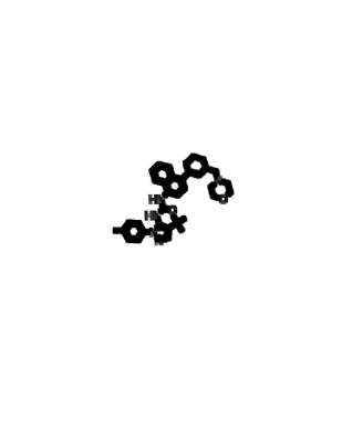 Cc1ccc(-n2ncc(C(C)(C)C)c2NC(=O)Nc2ccc(C3=CC(CN4CCOCC4)CCC3)c3ccccc23)cc1